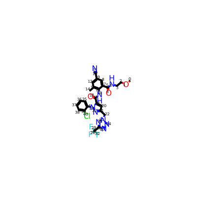 COCCNC(=O)c1cc(C#N)cc(C)c1NC(=O)c1cc(Cn2nnc(C(F)(F)F)n2)nn1-c1ccccc1Cl